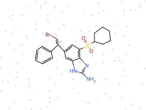 Nc1nc2c(S(=O)(=O)C3CCCCC3)cc(/C(=C/Br)c3ccccc3)cc2[nH]1